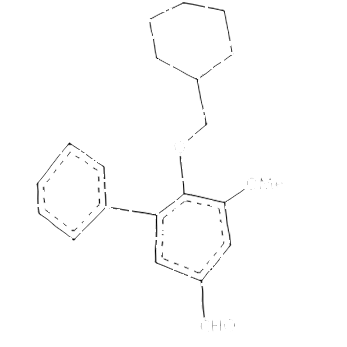 COc1cc(C=O)cc(-c2ccccc2)c1OCC1CCCCC1